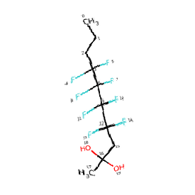 CCCC(F)(F)C(F)(F)C(F)(F)C(F)(F)CC(C)(O)O